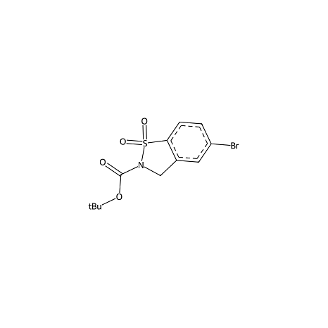 CC(C)(C)OC(=O)N1Cc2cc(Br)ccc2S1(=O)=O